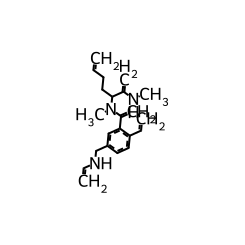 C=CCCC(C(=C)NC)N(C)C(=C)c1cc(CNC=C)ccc1C=C